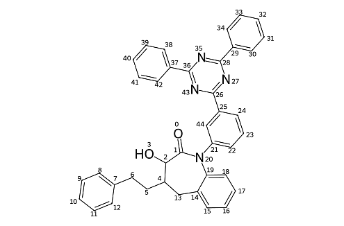 O=C1C(O)C(CCc2ccccc2)Cc2ccccc2N1c1cccc(-c2nc(-c3ccccc3)nc(-c3ccccc3)n2)c1